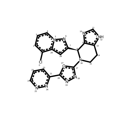 Clc1cccn2nc([C@H]3c4nc[nH]c4CCN3c3nnc(-c4cccnn4)o3)cc12